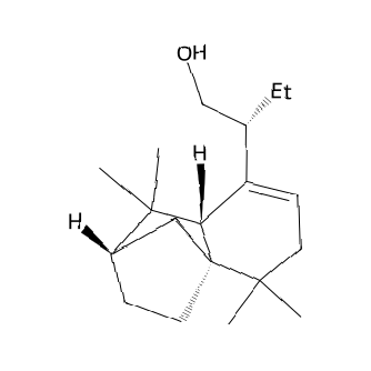 CC[C@@H](CO)C1=CCC(C)(C)[C@@]23CC[C@@H](C2)C(C)(C)[C@H]13